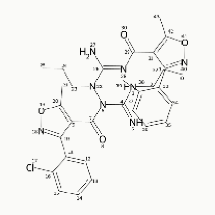 CCCNC(=N)N(C(=O)c1c(-c2ccccc2Cl)noc1C)N(CCC)C(N)=NC(=O)c1c(-c2ccccc2C)noc1C